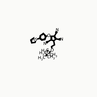 CC(C)(C)[Si](C)(C)OCCC1C(C#N)=C(C#N)C(Oc2ccc([SH]3CCCC3)cc2)=C1C#N